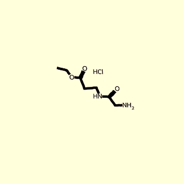 CCOC(=O)CCNC(=O)CN.Cl